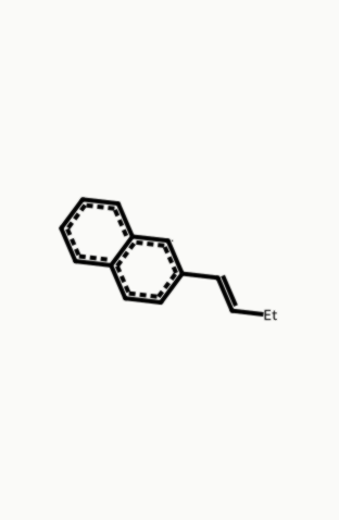 CC/C=C/c1[c]c2ccccc2cc1